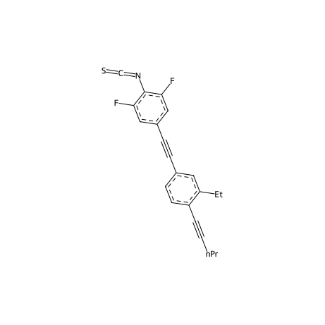 CCCC#Cc1ccc(C#Cc2cc(F)c(N=C=S)c(F)c2)cc1CC